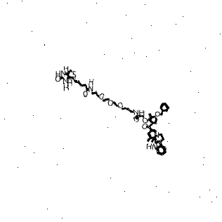 CC1=CC(C(=O)c2ccc(OCc3ccccc3)c(C)c2OCC(=O)NCCCOCCOCCOCCCNC(=O)CCCC[C@@H]2SC[C@@H]3NC(=O)N[C@@H]32)=CN2CCc3c([nH]c4ccccc34)C12C